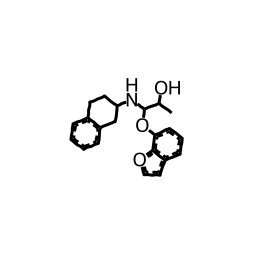 CC(O)C(NC1CCc2ccccc2C1)Oc1cccc2ccoc12